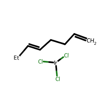 C=CCCC=CCC.[Cl][Ir]([Cl])[Cl]